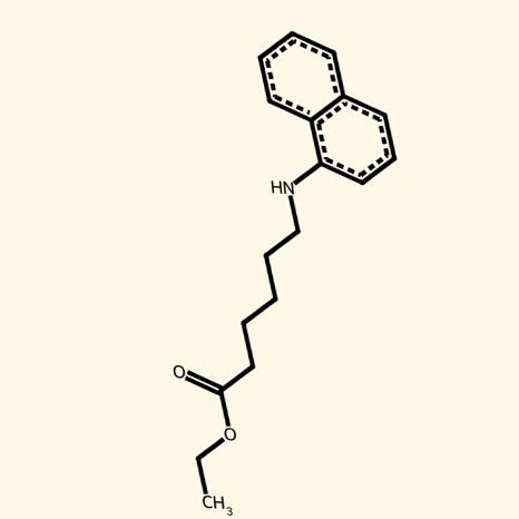 CCOC(=O)CCCCCNc1cccc2ccccc12